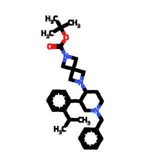 CC(C)c1ccccc1C1CN(Cc2ccccc2)CCC1N1CC2(CN(C(=O)OC(C)(C)C)C2)C1